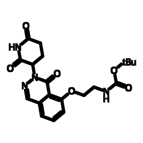 CC(C)(C)OC(=O)NCCOc1cccc2cnn(C3CCC(=O)NC3=O)c(=O)c12